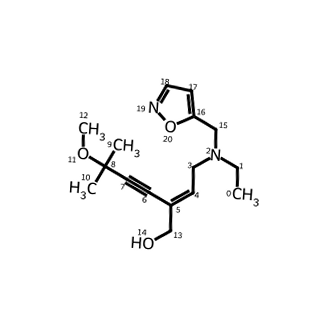 CCN(C/C=C(\C#CC(C)(C)OC)CO)Cc1ccno1